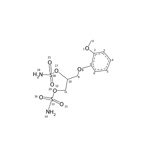 COc1ccccc1OCC(COS(N)(=O)=O)OS(N)(=O)=O